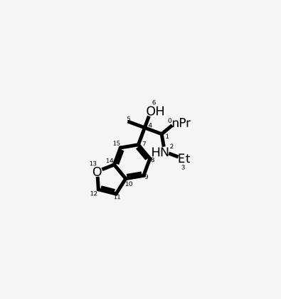 CCCC(NCC)C(C)(O)c1ccc2ccoc2c1